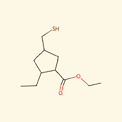 CCOC(=O)C1CC(CS)CC1CC